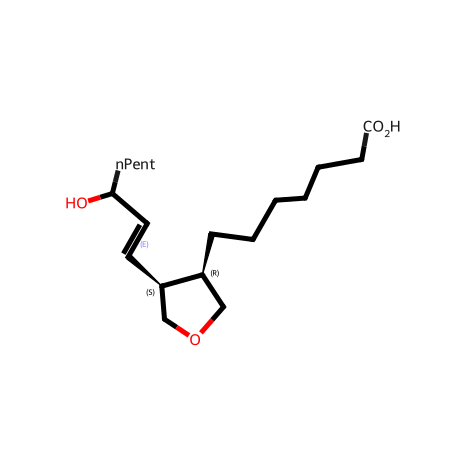 CCCCCC(O)/C=C/[C@@H]1COC[C@@H]1CCCCCCC(=O)O